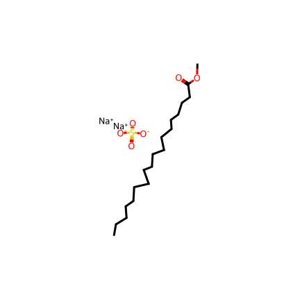 CCCCCCCCCCCCCCCCCC(=O)OC.O=S(=O)([O-])[O-].[Na+].[Na+]